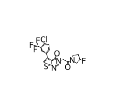 O=C(Cn1cnc2scc(-c3ccc(Cl)c(C(F)(F)F)c3)c2c1=O)N1CCC(F)C1